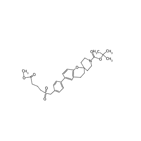 COC(=O)CCCS(=O)(=O)Cc1ccc(-c2ccc3c(c2)CCC2(CCN(C(=O)OC(C)(C)C)CC2)O3)cc1